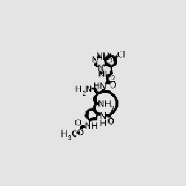 COC(=O)Nc1ccc2c(c1)NC(=O)CCCCCC(NC(=O)/C=C/c1cc(Cl)ccc1N(N)/C=N\N)C(=C/N)/C=C/2N